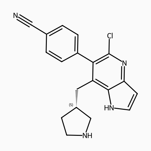 N#Cc1ccc(-c2c(Cl)nc3cc[nH]c3c2C[C@H]2CCNC2)cc1